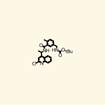 Cc1ccc(CNC(=O)OC(C)(C)C)cc1C(=O)NC(C)c1cc(Cl)nc2ccccc12